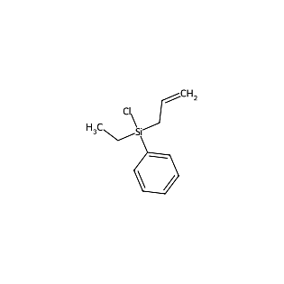 C=CC[Si](Cl)(CC)c1ccccc1